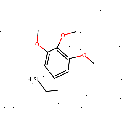 CC[SiH3].COc1cccc(OC)c1OC